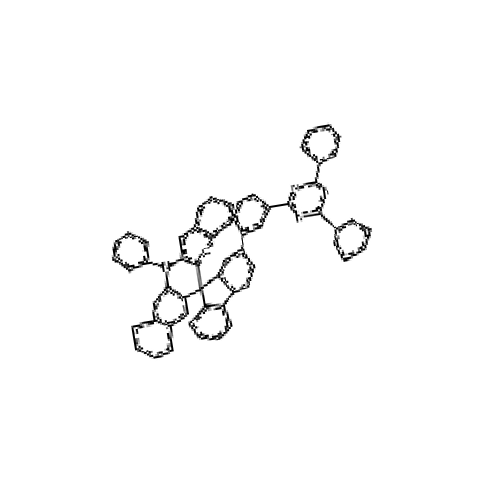 c1ccc(-c2nc(-c3ccccc3)nc(-c3cccc(-c4ccc5c(c4)C4(c6ccccc6-5)c5cc6ccccc6cc5N(c5ccccc5)c5cc6ccccc6cc54)c3)n2)cc1